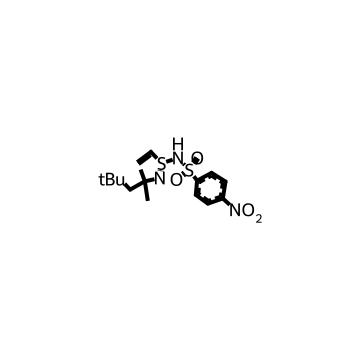 C=CS(=NC(C)(C)CC(C)(C)C)NS(=O)(=O)c1ccc([N+](=O)[O-])cc1